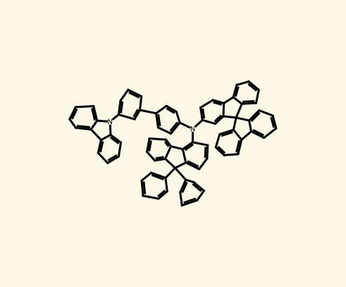 c1ccc(C2(c3ccccc3)c3ccccc3-c3c(N(c4ccc(-c5cccc(-n6c7ccccc7c7ccccc76)c5)cc4)c4ccc5c(c4)C4(c6ccccc6-c6ccccc64)c4ccccc4-5)cccc32)cc1